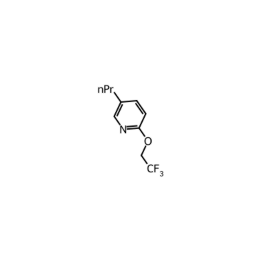 CCCc1ccc(OCC(F)(F)F)nc1